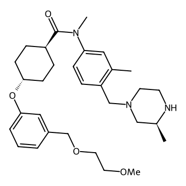 COCCOCc1cccc(O[C@H]2CC[C@H](C(=O)N(C)c3ccc(CN4CCN[C@@H](C)C4)c(C)c3)CC2)c1